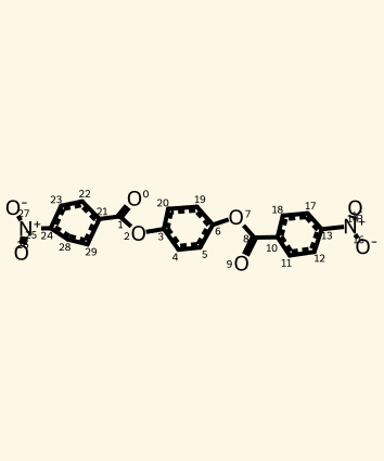 O=C(Oc1ccc(OC(=O)c2ccc([N+](=O)[O-])cc2)cc1)c1ccc([N+](=O)[O-])cc1